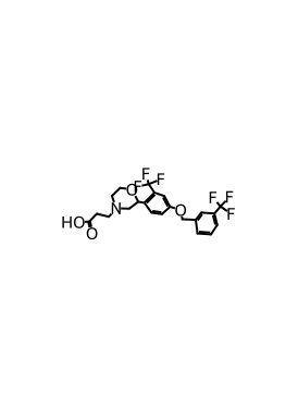 O=C(O)CCN1CCOC(c2ccc(OCc3cccc(C(F)(F)F)c3)cc2C(F)(F)F)C1